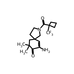 CC1(C)CC2(C=C(N)C1=O)CCN(C(=O)C1(C(F)(F)F)CCC1)C2